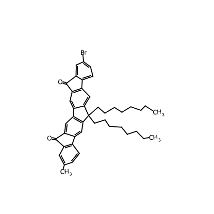 CCCCCCCCC1(CCCCCCCC)c2cc3c(cc2-c2cc4c(cc21)-c1ccc(Br)cc1C4=O)C(=O)c1cc(C)ccc1-3